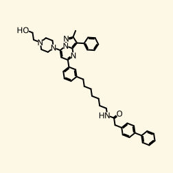 Cc1nn2c(N3CCN(CCO)CC3)cc(-c3cccc(CCCCCCCNC(=O)Cc4ccc(-c5ccccc5)cc4)c3)nc2c1-c1ccccc1